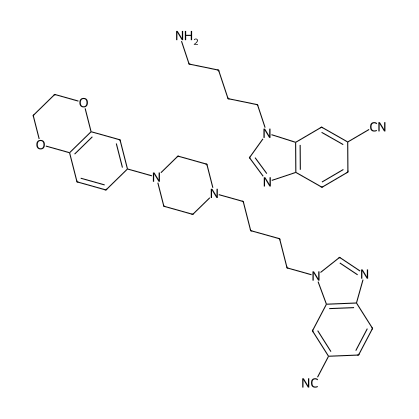 N#Cc1ccc2ncn(CCCCN)c2c1.N#Cc1ccc2ncn(CCCCN3CCN(c4ccc5c(c4)OCCO5)CC3)c2c1